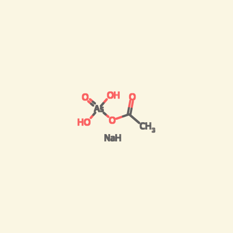 CC(=O)O[As](=O)(O)O.[NaH]